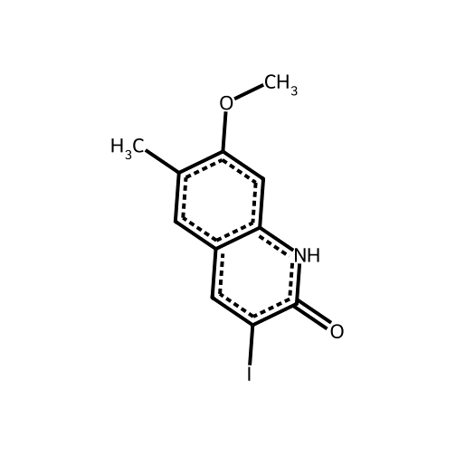 COc1cc2[nH]c(=O)c(I)cc2cc1C